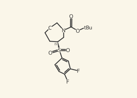 CC(C)(C)OC(=O)N1CCCC[C@H](S(=O)(=O)c2ccc(F)c(F)c2)C1